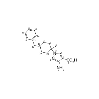 CC1(n2cc(C(=O)O)c(N)n2)CCN(Cc2ccccc2)CC1